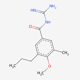 CCCc1cc(C(=O)NC(=N)N)cc(C)c1OC